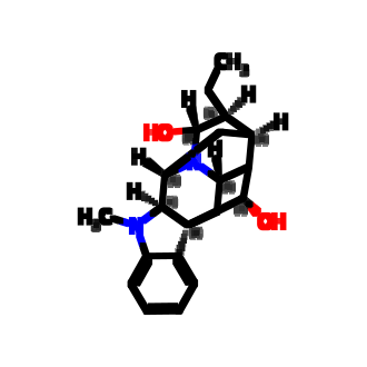 CC[C@H]1[C@@H]2C[C@H]3[C@@H]4N(C)c5ccccc5[C@]45C[C@@H](C2[C@H]5O)N3[C@@H]1O